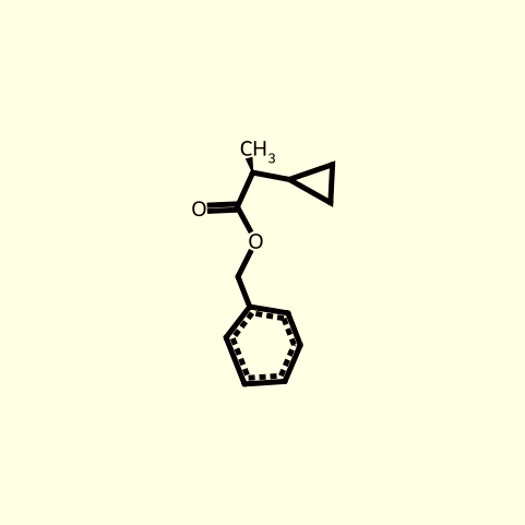 C[C@H](C(=O)OCc1ccccc1)C1CC1